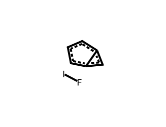 FI.c1cc2cc-2c1